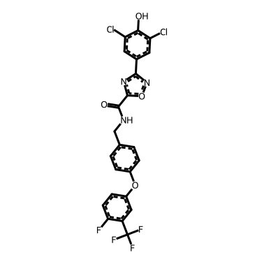 O=C(NCc1ccc(Oc2ccc(F)c(C(F)(F)F)c2)cc1)c1nc(-c2cc(Cl)c(O)c(Cl)c2)no1